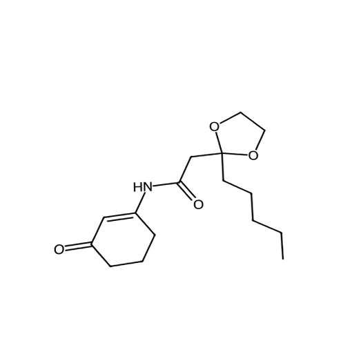 CCCCCC1(CC(=O)NC2=CC(=O)CCC2)OCCO1